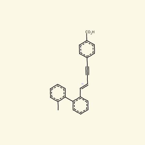 Cc1ccccc1-c1ccccc1/C=C/C#Cc1ccc(C(=O)O)cc1